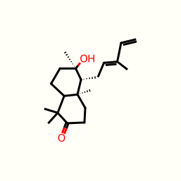 C=C/C(C)=C/C[C@@H]1[C@@]2(C)CCC(=O)C(C)(C)C2CC[C@@]1(C)O